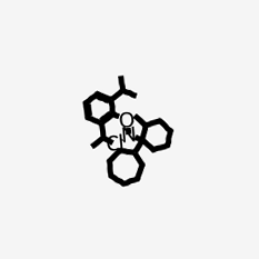 CC(C)c1cccc(C(C)C)c1ON(Cl)C1(C2CCCCCC2)CCCCC1C